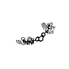 CC(C)C(NC(=O)C(C)(C)C)c1nc(-c2ccc3c(c2)CCc2cc(-c4c[nH]c(C(NC(=O)C(C)(C)C)C(C)C)n4)ccc2-3)c[nH]1